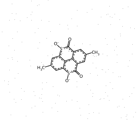 Cc1cc2c(=O)[s+]([O-])c3cc(C)cc4c3c2c(c1)c(=O)[s+]4[O-]